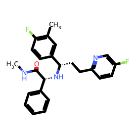 CNC(=O)[C@H](N[C@@H](CCc1ccc(F)cn1)c1ccc(F)c(C)c1)c1ccccc1